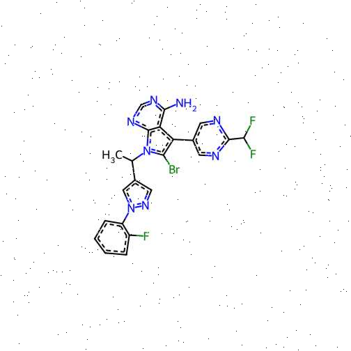 CC(c1cnn(-c2ccccc2F)c1)n1c(Br)c(-c2cnc(C(F)F)nc2)c2c(N)ncnc21